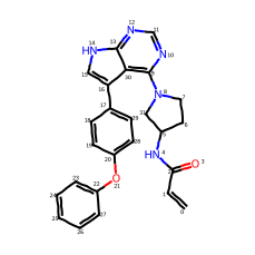 C=CC(=O)NC1CCN(c2ncnc3[nH]cc(-c4ccc(Oc5ccccc5)cc4)c23)C1